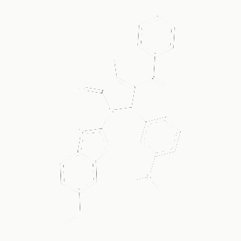 COc1ccc2nc(N3C(=O)C(O)=C(C(=O)c4ccccc4)C3c3cccc([N+](=O)[O-])c3)sc2c1